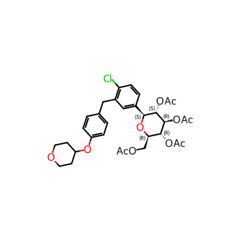 CC(=O)OC[C@H]1O[C@@H](c2ccc(Cl)c(Cc3ccc(OC4CCOCC4)cc3)c2)[C@H](OC(C)=O)[C@@H](OC(C)=O)[C@@H]1OC(C)=O